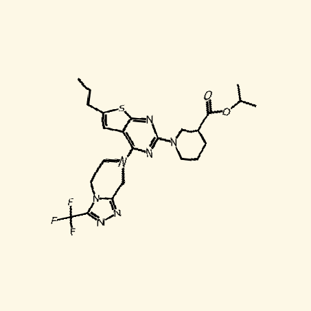 CCCc1cc2c(N3CCn4c(nnc4C(F)(F)F)C3)nc(N3CCCC(C(=O)OC(C)C)C3)nc2s1